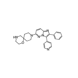 c1ccc(-c2nc3ccc(N4CCC5(CC4)CNCCO5)nn3c2-c2ccncc2)cc1